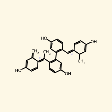 C=c1cc(O)cc/c1=C(/C)c1ccc(O)cc1-c1cc(O)ccc1/C=C1\C=CC(O)=CC1C